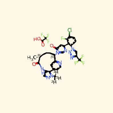 O=C(O)C(F)(F)F.[2H]C([2H])([2H])n1ncc2c1-c1ccnc(c1)[C@@H](n1cnc(-c3c(-n4cc(C(F)(F)F)nn4)ccc(Cl)c3F)cc1=O)CCC[C@@H](C)C(=O)N2